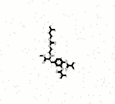 COC(=O)[C@H](Cc1ccc(OC(=O)C(C)C)c(OC(=O)C(C)C)c1)NCCOC(=O)OCCC(C)C